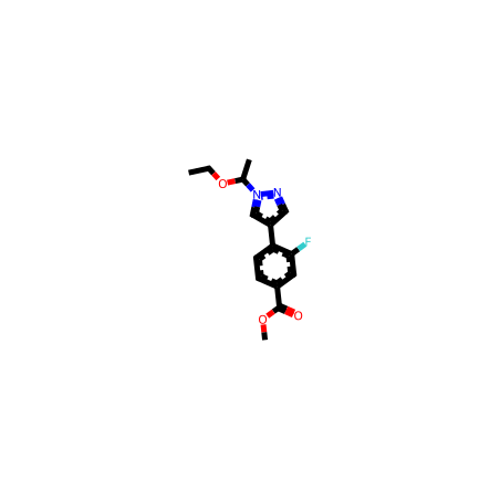 CCOC(C)n1cc(-c2ccc(C(=O)OC)cc2F)cn1